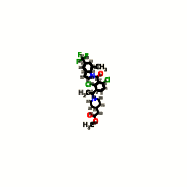 C=C(c1ccc(Cl)c(C(=O)n2ccc3cc(C(F)(F)F)cc(C)c32)c1Cl)N1CCC(CC(=O)OC)CC1